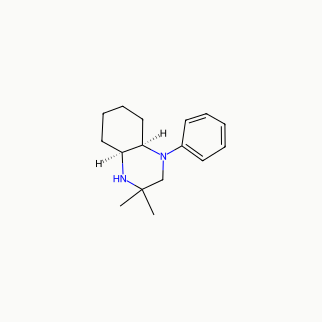 CC1(C)CN(c2ccccc2)[C@@H]2CCCC[C@@H]2N1